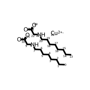 CCCCCCCCNCC(=O)[O-].CCCCCCCCNCC(=O)[O-].[Cu+2]